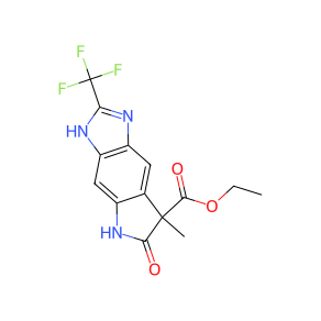 CCOC(=O)C1(C)C(=O)Nc2cc3[nH]c(C(F)(F)F)nc3cc21